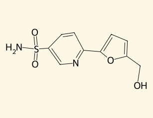 NS(=O)(=O)c1ccc(-c2ccc(CO)o2)nc1